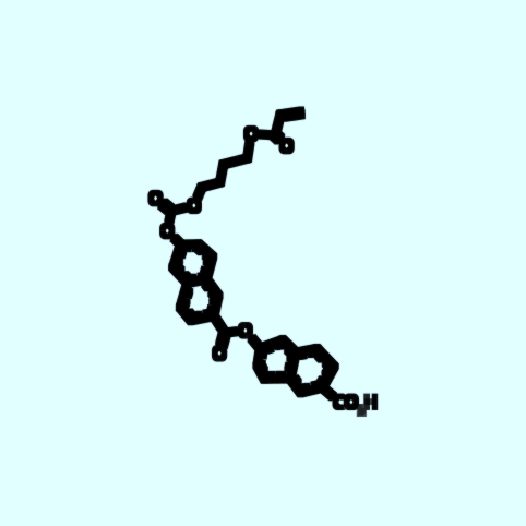 C=CC(=O)OCCCCOC(=O)Oc1ccc2cc(C(=O)Oc3ccc4cc(C(=O)O)ccc4c3)ccc2c1